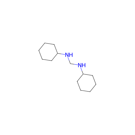 C1CCC(NCNC2CCCCC2)CC1